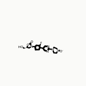 O=C1O[C@@H](CO)CN1c1ccc(-c2cnc(N3CC[S+]([O-])CC3)nc2)c(F)c1